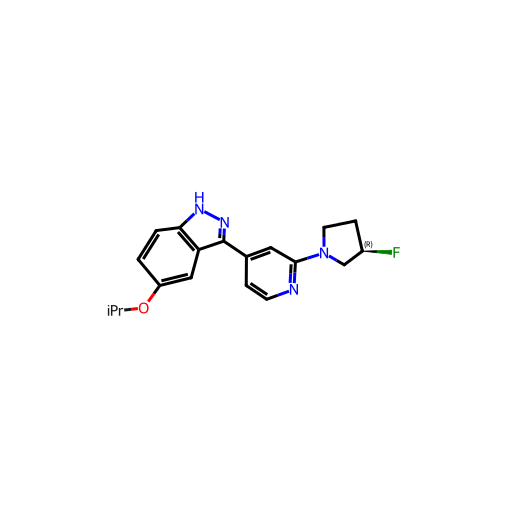 CC(C)Oc1ccc2[nH]nc(-c3ccnc(N4CC[C@@H](F)C4)c3)c2c1